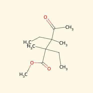 CCC(C)(C(C)=O)C(C)(CC)C(=O)OC